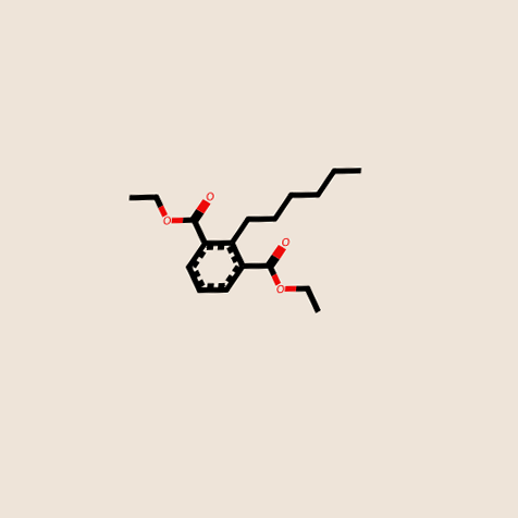 CCCCCCc1c(C(=O)OCC)cccc1C(=O)OCC